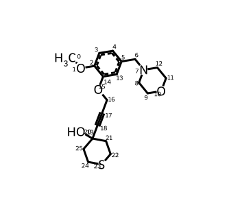 COc1ccc(CN2CCOCC2)cc1OCC#CC1(O)CCSCC1